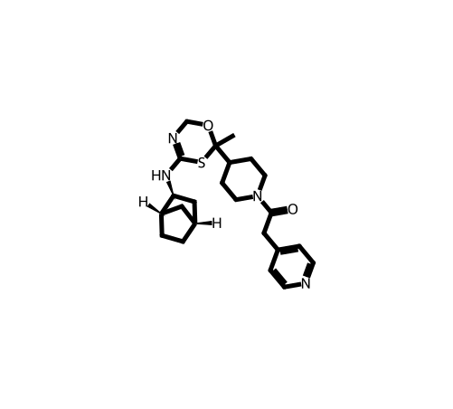 CC1(C2CCN(C(=O)Cc3ccncc3)CC2)OCN=C(N[C@H]2C[C@@H]3CC[C@H]2C3)S1